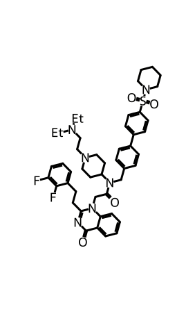 CCN(CC)CCN1CCC(N(Cc2ccc(-c3ccc(S(=O)(=O)N4CCCCC4)cc3)cc2)C(=O)Cn2c(CCc3cccc(F)c3F)nc(=O)c3ccccc32)CC1